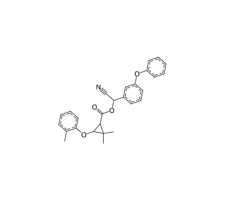 Cc1ccccc1OC1C(C(=O)OC(C#N)c2cccc(Oc3ccccc3)c2)C1(C)C